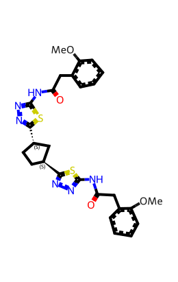 COc1ccccc1CC(=O)Nc1nnc([C@H]2CC[C@H](c3nnc(NC(=O)Cc4ccccc4OC)s3)C2)s1